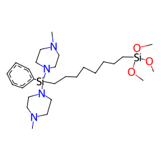 CO[Si](CCCCCCCC[Si](c1ccccc1)(N1CCN(C)CC1)N1CCN(C)CC1)(OC)OC